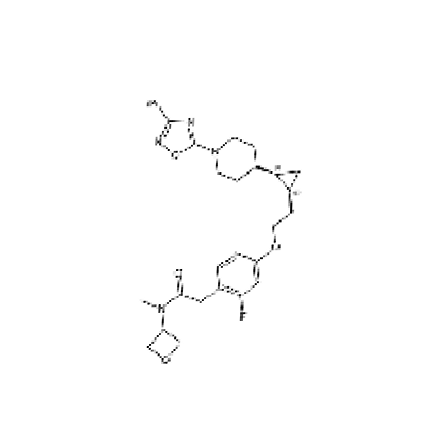 CC(C)c1noc(N2CCC([C@H]3C[C@H]3CCOc3ccc(CC(=O)N(C)C4COC4)c(F)c3)CC2)n1